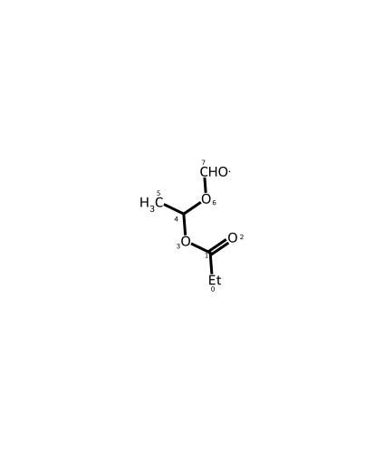 CCC(=O)OC(C)O[C]=O